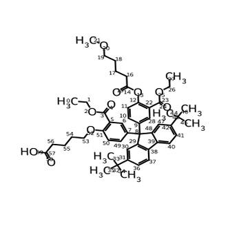 CCOC(=O)c1cc(C2(c3ccc(OC(=O)CCCCOC)c(C(=O)OCC)c3)c3cc(C(C)(C)C)ccc3-c3ccc(C(C)(C)C)cc32)ccc1OCCCCC(=O)O